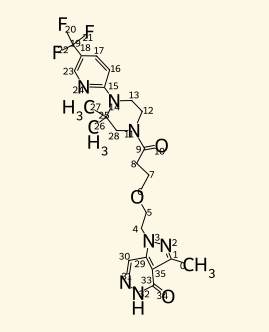 Cc1nn(CCOCCC(=O)N2CCN(c3ccc(C(F)(F)F)cn3)C(C)(C)C2)c2cn[nH]c(=O)c12